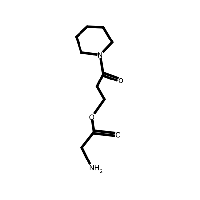 NCC(=O)OCCC(=O)N1CCCCC1